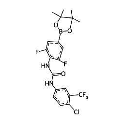 CC1(C)OB(c2cc(F)c(NC(=O)Nc3ccc(Cl)c(C(F)(F)F)c3)c(F)c2)OC1(C)C